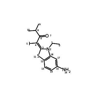 CCN1C(=C(I)C(=O)C(C)C)Sc2ccc(N)cc21